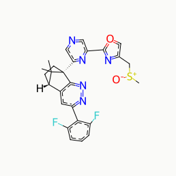 C[S+]([O-])Cc1coc(-c2cncc([C@]34CC[C@@H](c5cc(-c6c(F)cccc6F)nnc53)C4(C)C)n2)n1